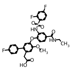 CCNC(=O)c1ccc(Oc2cc(-c3ccc(F)cc3)c(CC(=O)O)cc2OC)c(NS(=O)(=O)c2ccc(F)cc2F)c1